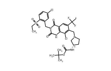 CCS(=O)(=O)c1ccc(Cl)cc1Cn1c(=O)[nH]c2c(Cl)c(CN3CC[C@H](NC(=O)OC(C)(C)C)C3)c(C(F)(F)F)cc2c1=O